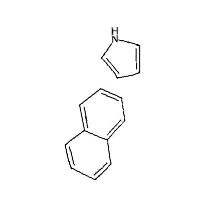 c1cc[nH]c1.c1ccc2ccccc2c1